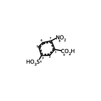 O=C(O)c1cc(S(=O)(=O)O)ccc1[N+](=O)[O-]